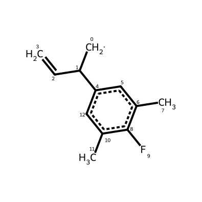 [CH2]C(C=C)c1cc(C)c(F)c(C)c1